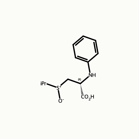 CC(C)[S+]([O-])C[C@H](Nc1ccccc1)C(=O)O